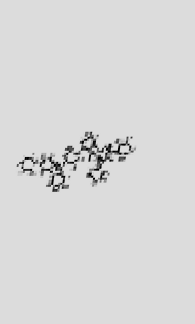 c1ccc(-c2ccc3c(c2)c2ccccc2n3-c2ccc(-c3cccc4c3oc3c(-c5ccccc5)nc(-c5ccccc5)nc34)cc2)cc1